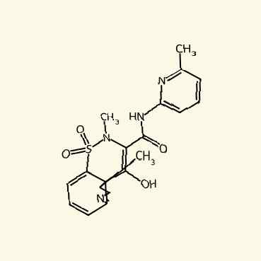 Cc1cccc(NC(=O)C2=C(O)C34C(=CC=CC3=NCC4C)S(=O)(=O)N2C)n1